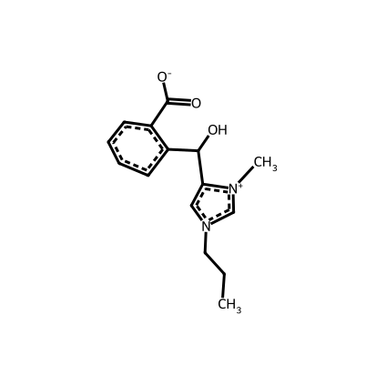 CCCn1cc(C(O)c2ccccc2C(=O)[O-])[n+](C)c1